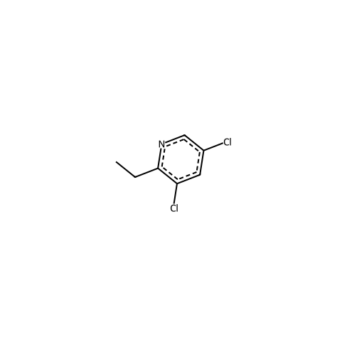 CCc1ncc(Cl)cc1Cl